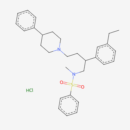 CCc1cccc(C(CCN2CCC(c3ccccc3)CC2)CN(C)S(=O)(=O)c2ccccc2)c1.Cl